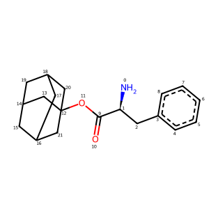 N[C@@H](Cc1ccccc1)C(=O)OC12CC3CC(CC(C3)C1)C2